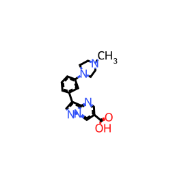 CN1CCN(c2cccc(-c3cnn4cc(C(=O)O)cnc34)c2)CC1